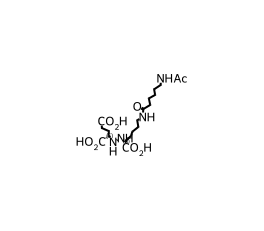 CC(=O)NCCCCCC(=O)NCCCC[C@H](NN[C@@H](CCC(=O)O)C(=O)O)C(=O)O